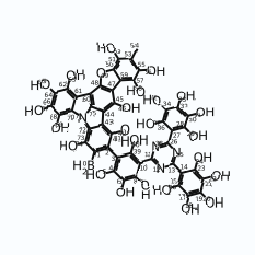 Bc1c(-c2c(O)c(O)c(O)c(-c3nc(-c4c(O)c(O)c(O)c(O)c4O)nc(-c4c(O)c(O)c(O)c(O)c4O)n3)c2O)c(O)c2c3c(O)c4c(oc5c(O)c(C)c(O)c(O)c54)c4c5c(O)c(O)c(O)c(O)c5n(c2c1O)c34